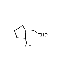 O=CC[C@@H]1CCC[C@@H]1O